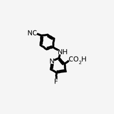 N#Cc1ccc(Nc2ncc(F)cc2C(=O)O)cc1